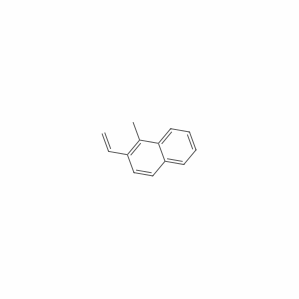 C=Cc1ccc2ccccc2c1C